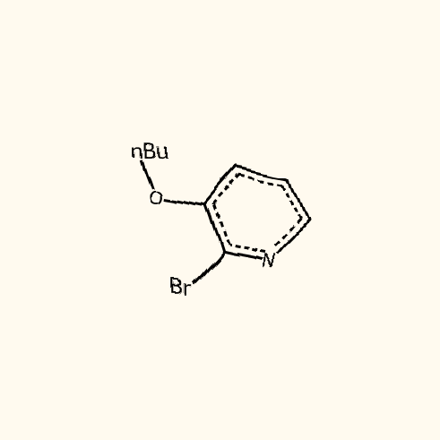 CCCCOc1cccnc1Br